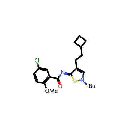 COc1ccc(Cl)cc1C(=O)/N=c1\sn(C(C)(C)C)cc1CCC1CCC1